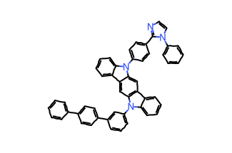 c1ccc(-c2ccc(-c3cccc(-n4c5ccccc5c5cc6c(cc54)c4ccccc4n6-c4ccc(-c5nccn5-c5ccccc5)cc4)c3)cc2)cc1